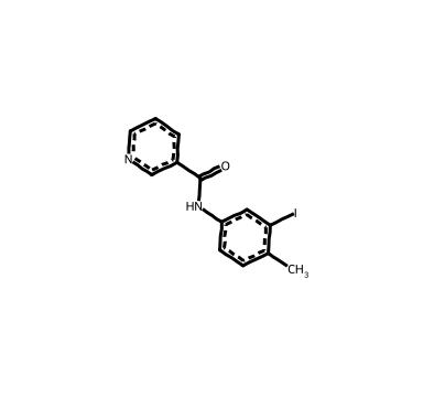 Cc1ccc(NC(=O)c2cccnc2)cc1I